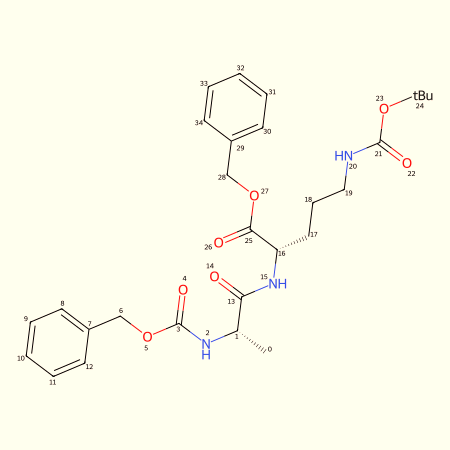 C[C@H](NC(=O)OCc1ccccc1)C(=O)N[C@@H](CCCNC(=O)OC(C)(C)C)C(=O)OCc1ccccc1